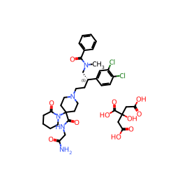 CN(C[C@@H](CCN1CCC(C(=O)NCC(N)=O)(N2CCCCC2=O)CC1)c1ccc(Cl)c(Cl)c1)C(=O)c1ccccc1.O=C(O)CC(O)(CC(=O)O)C(=O)O